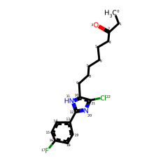 CCC(=O)CCCCCCc1[nH]c(-c2ccc(F)cc2)nc1Cl